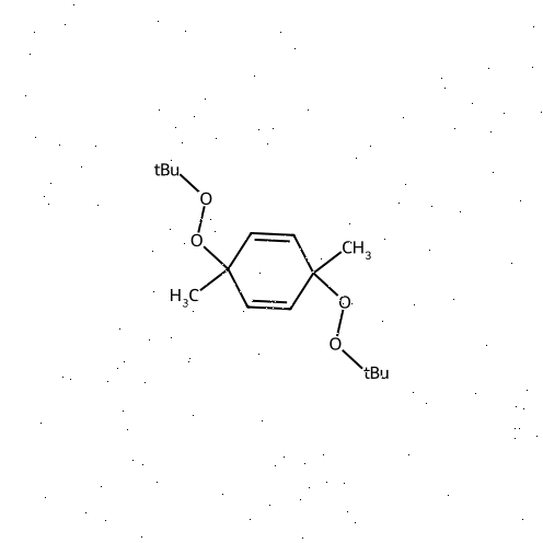 CC(C)(C)OOC1(C)C=CC(C)(OOC(C)(C)C)C=C1